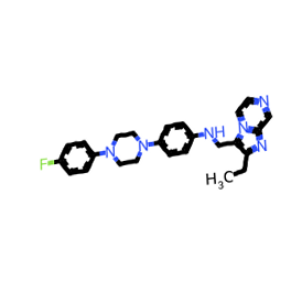 CCc1nc2cnccn2c1CNc1ccc(N2CCN(c3ccc(F)cc3)CC2)cc1